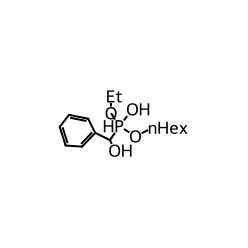 CCCCCCO[PH](O)(OCC)C(O)c1ccccc1